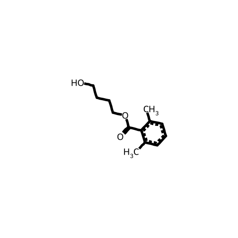 Cc1cccc(C)c1C(=O)OCCCCO